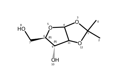 CC1(C)OC2O[C@H](CO)[C@@H](O)C2O1